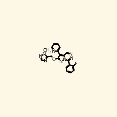 Cn1ncnc1COc1nn2c(-c3ccccc3F)nncc2c1-c1ccccn1